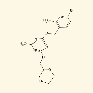 Cc1nc(OCc2ccc(Br)cc2C)cc(OCC2COCCO2)n1